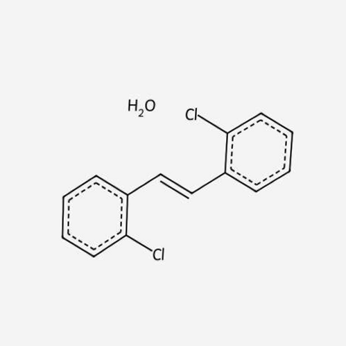 Clc1ccccc1/C=C/c1ccccc1Cl.O